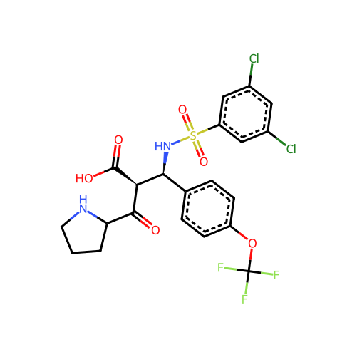 O=C(O)[C@H](C(=O)C1CCCN1)[C@@H](NS(=O)(=O)c1cc(Cl)cc(Cl)c1)c1ccc(OC(F)(F)F)cc1